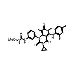 CON(C)C(=O)Nc1cccc(-n2c(=O)n(C3CC3)c(=O)c3c(Nc4ccc(I)cc4F)n(C)c(=O)c(C)c32)c1